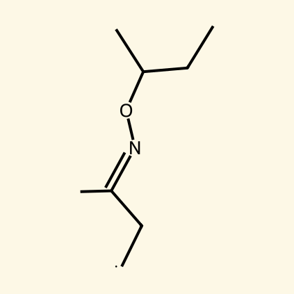 [CH2]C/C(C)=N/OC(C)CC